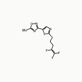 CC(C)(C)c1nc(-c2cnc(SCCC(F)=C(F)F)s2)no1